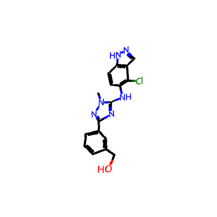 Cn1nc(-c2cccc(CO)c2)nc1Nc1ccc2[nH]ncc2c1Cl